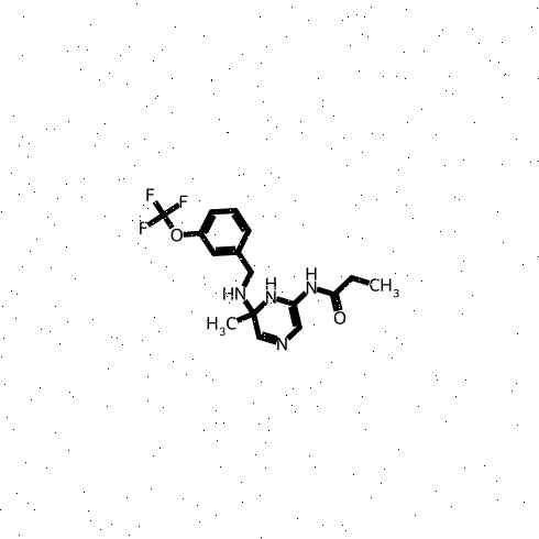 CCC(=O)NC1=CN=CC(C)(NCc2cccc(OC(F)(F)F)c2)N1